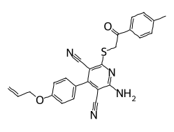 C=CCOc1ccc(-c2c(C#N)c(N)nc(SCC(=O)c3ccc(C)cc3)c2C#N)cc1